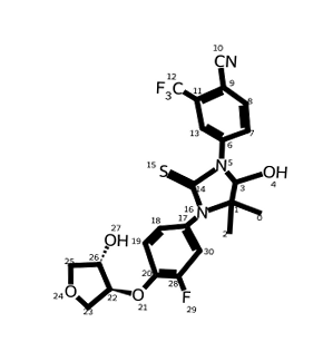 CC1(C)C(O)N(c2ccc(C#N)c(C(F)(F)F)c2)C(=S)N1c1ccc(O[C@H]2COC[C@@H]2O)c(F)c1